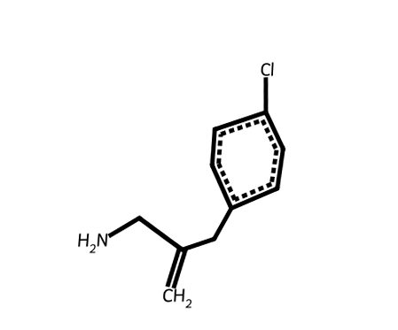 C=C(CN)Cc1ccc(Cl)cc1